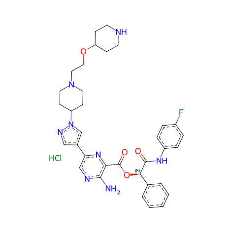 Cl.Nc1ncc(-c2cnn(C3CCN(CCOC4CCNCC4)CC3)c2)nc1C(=O)O[C@@H](C(=O)Nc1ccc(F)cc1)c1ccccc1